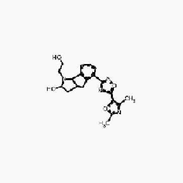 Cc1nc(C)c(-c2nc(-c3cccc4c3CC3CC(O)N(CCO)C43)no2)o1